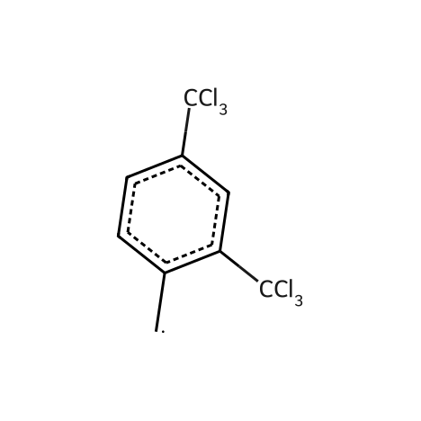 [CH2]c1ccc(C(Cl)(Cl)Cl)cc1C(Cl)(Cl)Cl